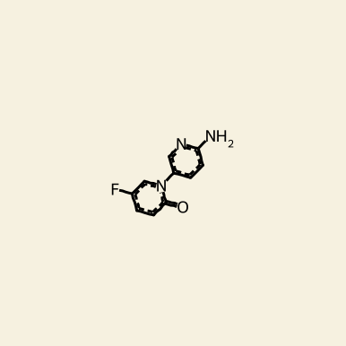 Nc1ccc(-n2cc(F)ccc2=O)cn1